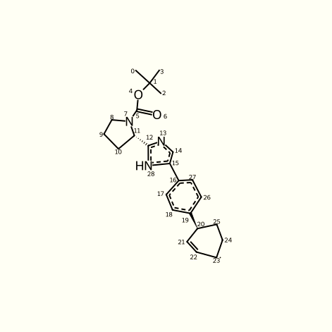 CC(C)(C)OC(=O)N1CCC[C@H]1c1ncc(-c2ccc([C@@H]3C=C[CH]CC3)cc2)[nH]1